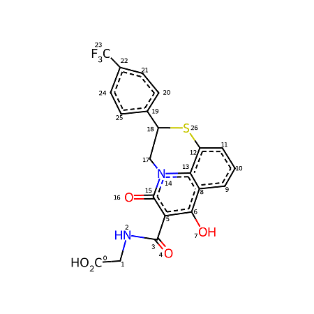 O=C(O)CNC(=O)c1c(O)c2cccc3c2n(c1=O)CC(c1ccc(C(F)(F)F)cc1)S3